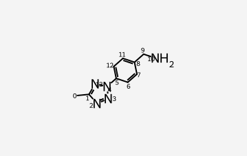 Cc1nnn(-c2ccc(CN)cc2)n1